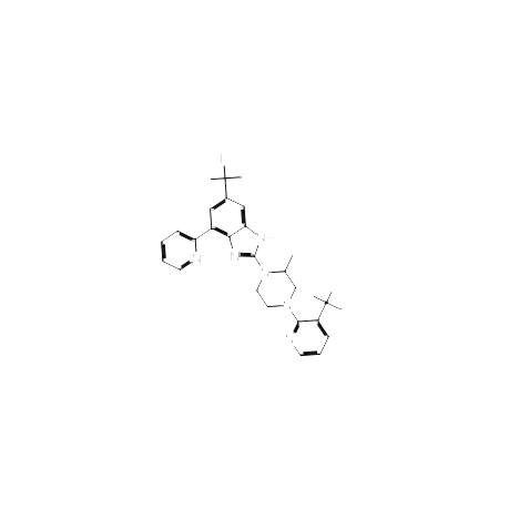 CC1CN(c2ncccc2C(F)(F)F)CCN1c1nc2c(-c3ccccn3)cc(C(F)(F)F)cc2[nH]1